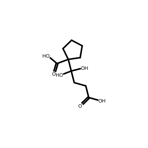 O=C(O)CCC(O)(O)C1(C(=O)O)CCCC1